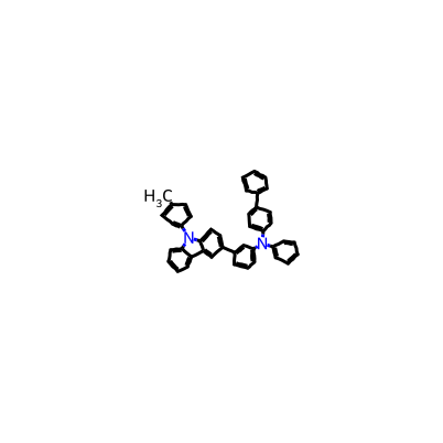 Cc1ccc(-n2c3ccccc3c3cc(-c4cccc(N(c5ccccc5)c5ccc(-c6ccccc6)cc5)c4)ccc32)cc1